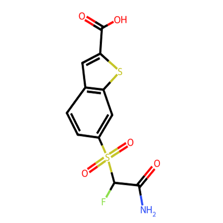 NC(=O)C(F)S(=O)(=O)c1ccc2cc(C(=O)O)sc2c1